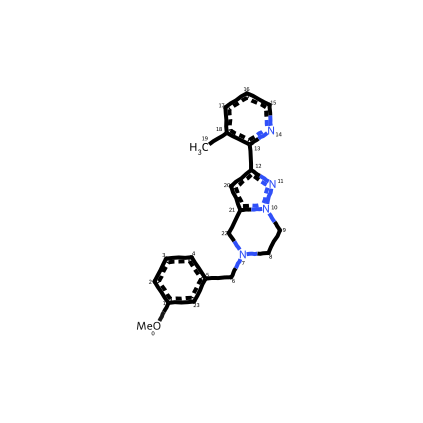 COc1cccc(CN2CCn3nc(-c4ncccc4C)cc3C2)c1